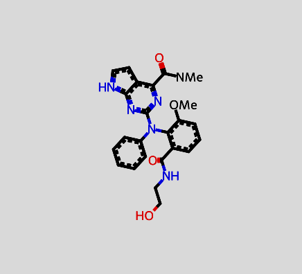 CNC(=O)c1nc(N(c2ccccc2)c2c(OC)cccc2C(=O)NCCO)nc2[nH]ccc12